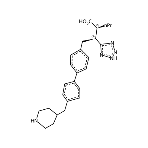 CCC[C@H](C(=O)O)[C@H](Cc1ccc(-c2ccc(CC3CCNCC3)cc2)cc1)c1nn[nH]n1